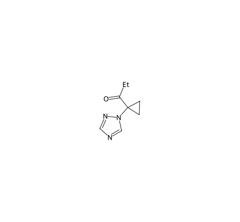 CCC(=O)C1(n2cncn2)CC1